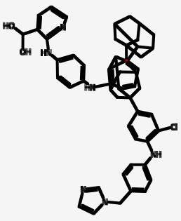 OC(O)c1cccnc1Nc1ccc(Nc2cccc(C34CC5CC(C3)C(C3C6CC7CC3CC(c3ccc(Nc8ccc(Cn9ccnc9)cc8)c(Cl)c3)(C7)C6)C(C5)C4)c2)cc1